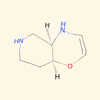 C1=CO[C@H]2CCNC[C@H]2N1